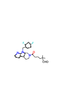 CC(C)(C=O)CCCC(=O)N1CCc2c(n(Cc3ccc(F)cc3F)c3ncccc23)C1